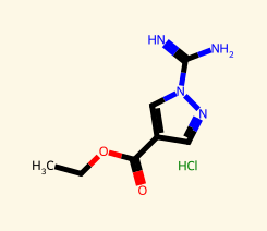 CCOC(=O)c1cnn(C(=N)N)c1.Cl